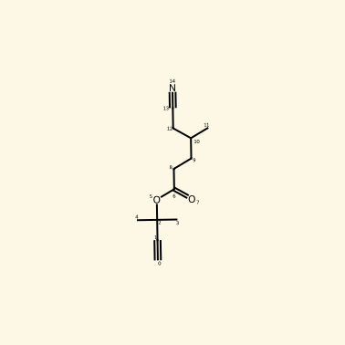 C#CC(C)(C)OC(=O)CCC(C)CC#N